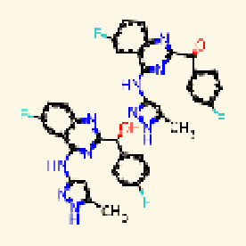 Cc1cc(Nc2nc(C(=O)c3ccc(F)cc3)nc3ccc(F)cc23)n[nH]1.Cc1cc(Nc2nc(C(O)c3ccc(F)cc3)nc3ccc(F)cc23)n[nH]1